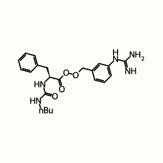 CCCCNC(=O)N[C@@H](Cc1ccccc1)C(=O)OOCc1cccc(NC(=N)N)c1